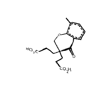 Cc1cccc2c1OCC(CCC(=O)O)(CCC(=O)O)C2=O